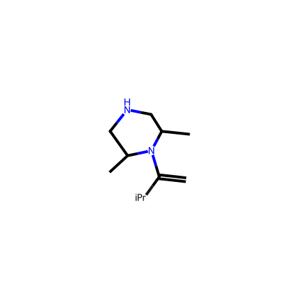 C=C(C(C)C)N1C(C)CNCC1C